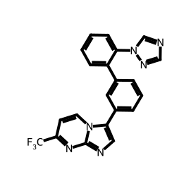 FC(F)(F)c1ccn2c(-c3cccc(-c4ccccc4-n4cncn4)c3)cnc2n1